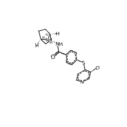 O=C(N[C@@H]1C[C@H]2CC[C@@H]1N2)c1ccc(Sc2ccncc2Cl)cc1